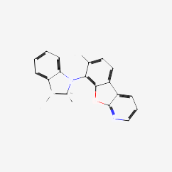 CB1c2ccccc2N(c2c(C)ccc3c2oc2ncccc23)[C@H]1C